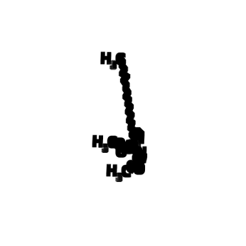 CCCCCCCCCCCCCCCCCCCc1ccnc(-c2cc(C(=O)OCC)cc(-c3cc(C(=O)OCC)ccn3)n2)c1